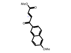 COC(=O)/C=C/C(=O)c1ccc2cc(OC)ccc2c1